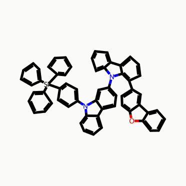 c1ccc([Si](c2ccccc2)(c2ccccc2)c2ccc(-n3c4ccccc4c4ccc(-n5c6ccccc6c6cccc(-c7ccc8oc9ccccc9c8c7)c65)cc43)cc2)cc1